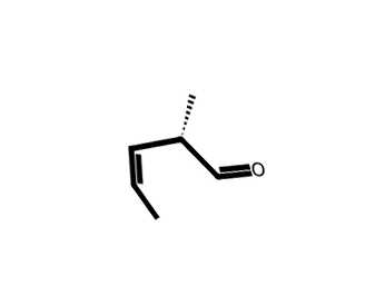 C/C=C\[C@H](C)C=O